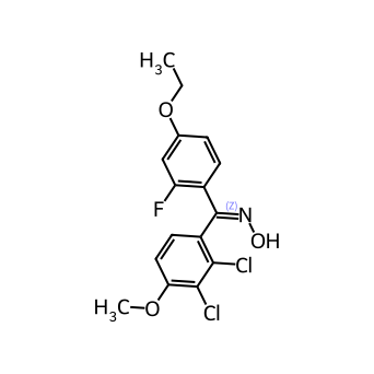 CCOc1ccc(/C(=N/O)c2ccc(OC)c(Cl)c2Cl)c(F)c1